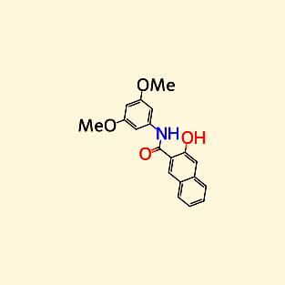 COc1cc(NC(=O)c2cc3ccccc3cc2O)cc(OC)c1